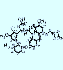 Cc1cc2cc(c1F)[C@@H](CC(=O)O)NC(=O)[C@@H](n1cc(CCN3CC(F)C3)cc(C)c1=O)c1cc(ccc1F)Oc1cccc(C)c1-2